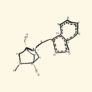 CN1C[C@@H]2C[C@H]1CN2Cc1nsc2ccccc12